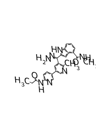 CCC(=O)Nc1ccc(-c2cnc(C)c(/C(=N\N)c3cc4c(C(=O)NC)cccc4[nH]3)c2)cn1